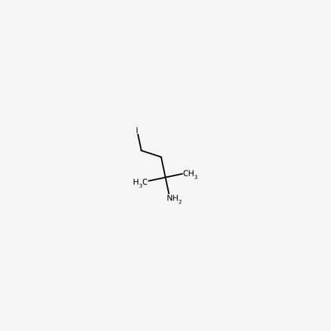 CC(C)(N)CCI